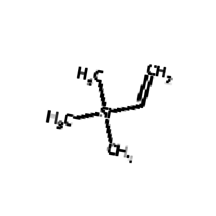 C=C[Si](C)(C)C